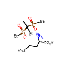 CCC(C)(S(=O)(=O)CC)S(=O)(=O)CC.CSCCC(N)C(=O)O